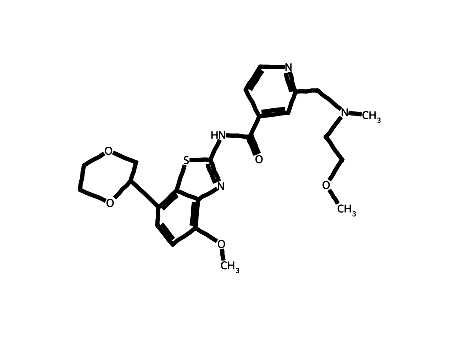 COCCN(C)Cc1cc(C(=O)Nc2nc3c(OC)ccc(C4COCCO4)c3s2)ccn1